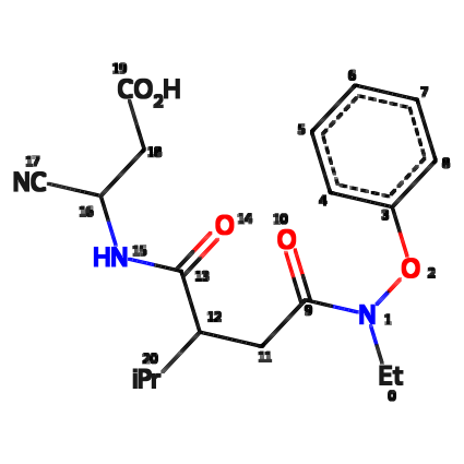 CCN(Oc1ccccc1)C(=O)CC(C(=O)NC(C#N)CC(=O)O)C(C)C